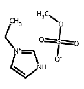 CC[n+]1cc[nH]c1.COS(=O)(=O)[O-]